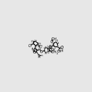 COc1ccc(C(=O)O)cc1NC(=O)N1C2C[C@H](OCc3c(-c4c(Cl)cccc4Cl)noc3C3CC3)CC1[C@H](C)C2